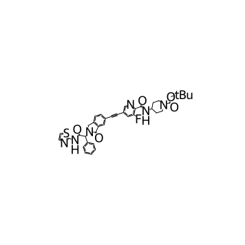 CC(C)(C)OC(=O)N1CCC(NC(=O)c2ncc(C#Cc3ccc4c(c3)C(=O)N(C(C(=O)Nc3nccs3)c3ccccc3)C4)cc2F)CC1